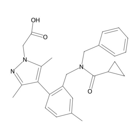 Cc1ccc(-c2c(C)nn(CC(=O)O)c2C)c(CN(Cc2ccccc2)C(=O)C2CC2)c1